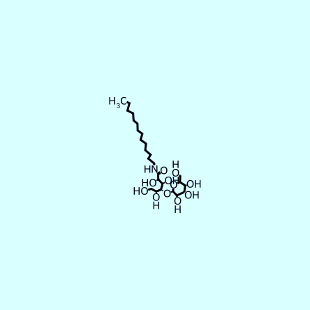 CCCCCCCCCCCCCCNC(=O)[C@H](O)[C@@H](O)[C@H](O[C@H]1OC(CO)[C@@H](O)C(O)C1O)[C@H](O)CO